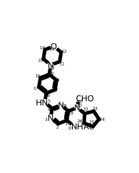 CC(=O)Nc1cnc(Nc2ccc(N3CCOCC3)cc2)nc1N(C=O)C1CCCC1